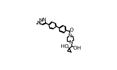 Cn1cc(-c2ccc(-c3ccc(C(=O)N4CCN(C(O)C5(O)CC5)CC4)cc3)cc2)nn1